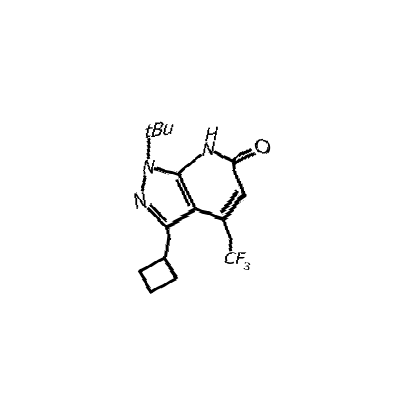 CC(C)(C)n1nc(C2CCC2)c2c(C(F)(F)F)cc(=O)[nH]c21